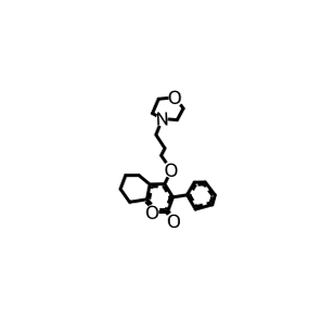 O=c1oc2c(c(OCCCN3CCOCC3)c1-c1ccccc1)CCCC2